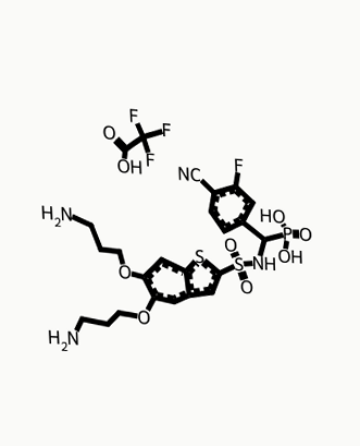 N#Cc1ccc(C(NS(=O)(=O)c2cc3cc(OCCCN)c(OCCCN)cc3s2)P(=O)(O)O)cc1F.O=C(O)C(F)(F)F